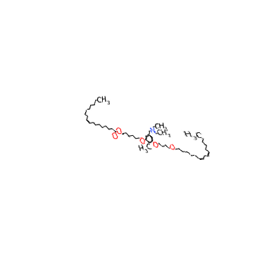 CCCCC/C=C\C/C=C\CCCCCCCC(=O)OCCCCCCOc1cc(CN(CC)CC)cc(OCCCCOCCCCCC/C=C\C/C=C\CCCCC)c1C